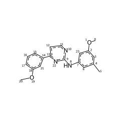 COc1cc(C)cc(Nc2nccc(-c3cccc(OC)c3)n2)c1